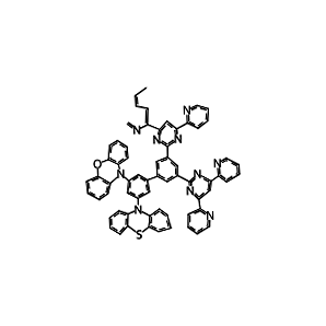 C=N/C(=C\C=C/C)c1cc(-c2ccccn2)nc(-c2cc(-c3cc(N4c5ccccc5Oc5ccccc54)cc(N4c5ccccc5Sc5ccccc54)c3)cc(-c3nc(-c4ccccn4)cc(-c4ccccn4)n3)c2)n1